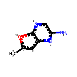 Cc1cc2nc(N)cnc2o1